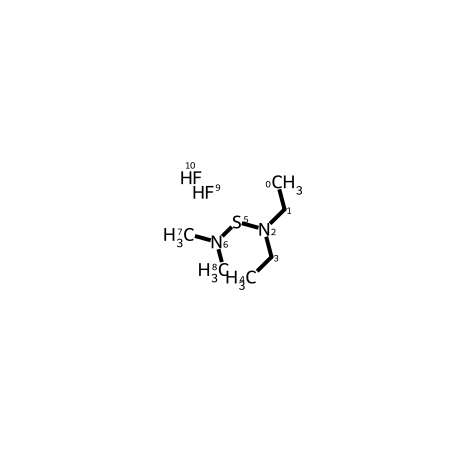 CCN(CC)SN(C)C.F.F